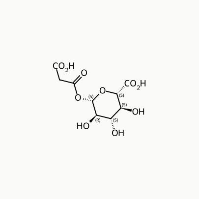 O=C(O)CC(=O)O[C@@H]1O[C@H](C(=O)O)[C@@H](O)[C@H](O)[C@H]1O